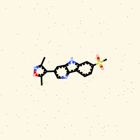 Cc1noc(C)c1-c1cnc2c(c1)[nH]c1cc(S(C)(=O)=O)ccc12